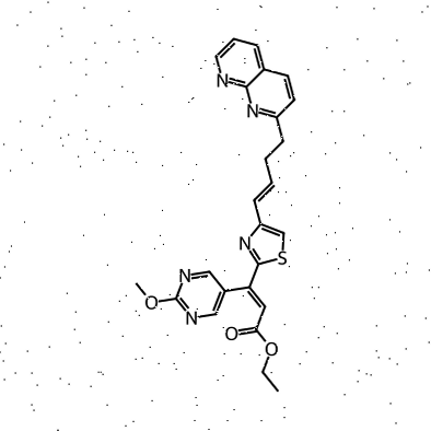 CCOC(=O)/C=C(\c1cnc(OC)nc1)c1nc(/C=C/CCc2ccc3cccnc3n2)cs1